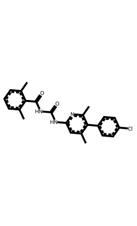 Cc1cccc(C)c1C(=O)NC(=O)Nc1cc(C)c(-c2ccc(Cl)cc2)c(C)n1